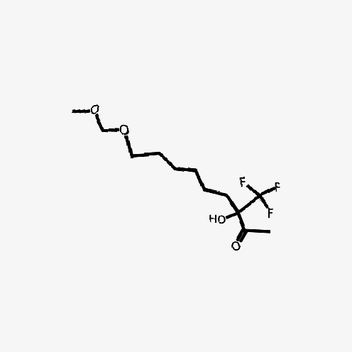 COCOCCCCCCC(O)(C(C)=O)C(F)(F)F